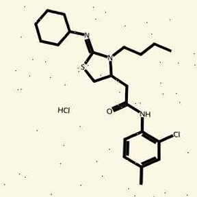 CCCCN1C(=NC2CCCCC2)SCC1CC(=O)Nc1ccc(C)cc1Cl.Cl